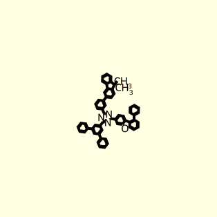 CC1(C)c2ccccc2-c2cc(-c3cccc(-c4nc(-c5cc(-c6ccccc6)cc(-c6ccccc6)c5)nc(-c5ccc6c(c5)oc5cccc(-c7ccccc7)c56)n4)c3)ccc21